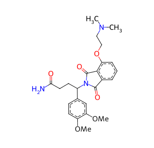 COc1ccc(C(CCC(N)=O)N2C(=O)c3cccc(OCCN(C)C)c3C2=O)cc1OC